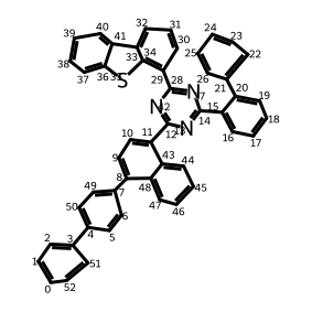 c1ccc(-c2ccc(-c3ccc(-c4nc(-c5ccccc5-c5ccccc5)nc(-c5cccc6c5sc5ccccc56)n4)c4ccccc34)cc2)cc1